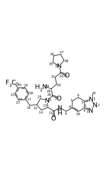 Cn1nnc2c1CCC(CNC(=O)C1CC(Cc3ccc(C(F)(F)F)cc3)CN1C(=O)C(N)CCC(=O)N1CCCC1)=C2